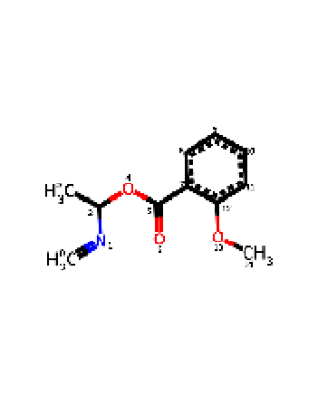 C=NC(C)OC(=O)c1ccccc1OC